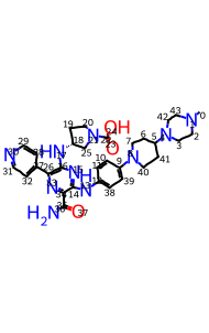 CN1CCN(C2CCN(c3ccc(Nc4nc(N[C@@H]5CCN(C(=O)O)C5)c(-c5ccncc5)nc4C(N)=O)cc3)CC2)CC1